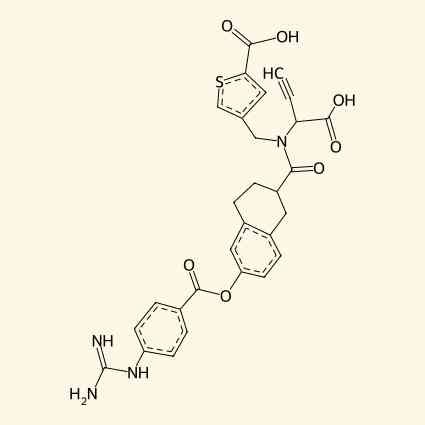 C#CC(C(=O)O)N(Cc1csc(C(=O)O)c1)C(=O)C1CCc2cc(OC(=O)c3ccc(NC(=N)N)cc3)ccc2C1